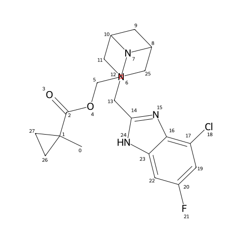 CC1(C(=O)OCCN2C3CC2CN(Cc2nc4c(Cl)cc(F)cc4[nH]2)C3)CC1